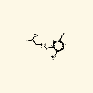 CC(O)CNCc1cc(Br)ccc1O